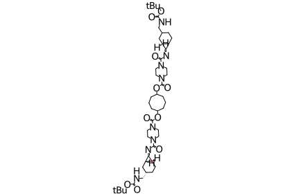 CC(C)(C)OC(=O)NCC1CC[C@H]2C(=NC(=O)N3CCN(C(=O)OC4CCCC(OC(=O)N5CCN(C(=O)N=C6[C@H]7C[C@@H](CNC(=O)OC(C)(C)C)CC[C@@H]67)CC5)CCC4)CC3)[C@@H]2C1